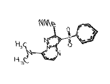 CNc1nn2c(N(C)C)ccnc2c1S(=O)(=O)c1ccccc1